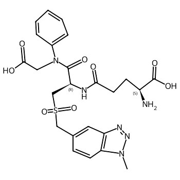 Cn1nnc2cc(CS(=O)(=O)C[C@H](NC(=O)CC[C@H](N)C(=O)O)C(=O)N(CC(=O)O)c3ccccc3)ccc21